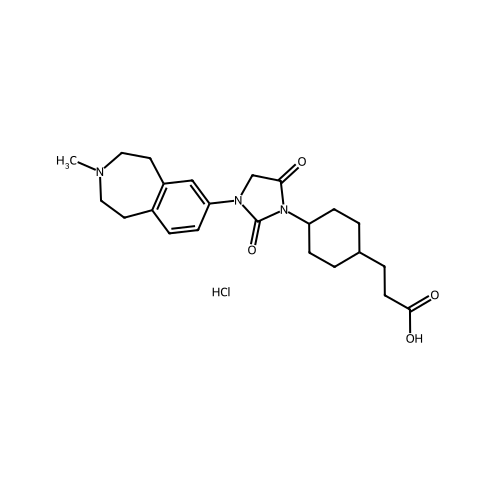 CN1CCc2ccc(N3CC(=O)N(C4CCC(CCC(=O)O)CC4)C3=O)cc2CC1.Cl